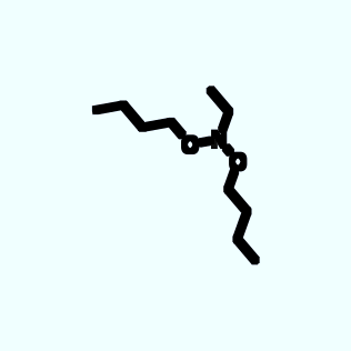 CCCCON(CC)OCCCC